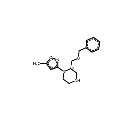 Cc1cc(N2CCNC[C@@H]2COCc2ccccc2)no1